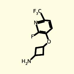 NC1CC(Oc2ccc(C(F)(F)F)nc2F)C1